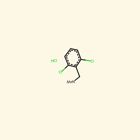 CNCc1c(Cl)cccc1Cl.Cl